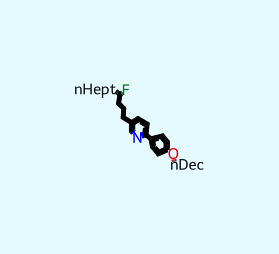 CCCCCCCCCCOc1ccc(-c2ccc(CCCC(F)CCCCCCC)cn2)cc1